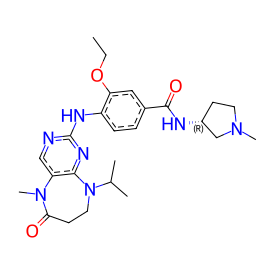 CCOc1cc(C(=O)N[C@@H]2CCN(C)C2)ccc1Nc1ncc2c(n1)N(C(C)C)CCC(=O)N2C